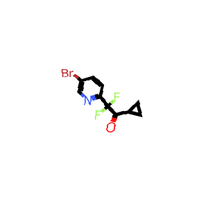 O=C(C1CC1)C(F)(F)c1ccc(Br)cn1